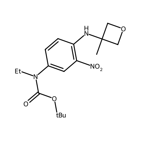 CCN(C(=O)OC(C)(C)C)c1ccc(NC2(C)COC2)c([N+](=O)[O-])c1